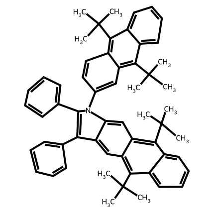 CC(C)(C)c1c2ccccc2c(C(C)(C)C)c2cc(-n3c(-c4ccccc4)c(-c4ccccc4)c4cc5c(C(C)(C)C)c6ccccc6c(C(C)(C)C)c5cc43)ccc12